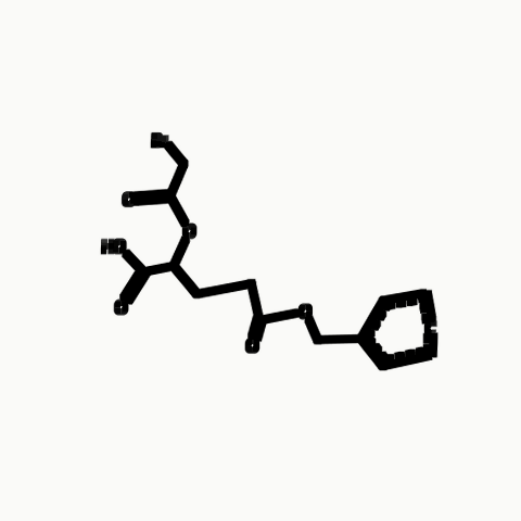 O=C(CCC(OC(=O)CBr)C(=O)O)OCc1ccccc1